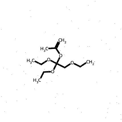 [CH2]COCC(OCC)(OCC)OC(=C)C